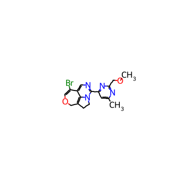 COCc1nc(C)cc(C2=NC=C3C(Br)=COCC4=C3N2CC4)n1